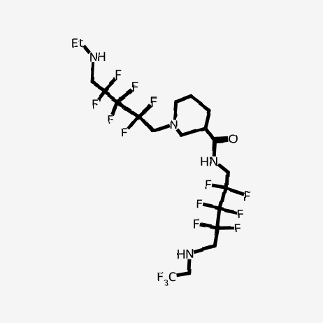 CCNCC(F)(F)C(F)(F)C(F)(F)CN1CCCC(C(=O)NCC(F)(F)C(F)(F)C(F)(F)CNCC(F)(F)F)C1